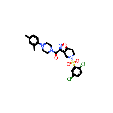 Cc1ccc(N2CCN(C(=O)c3noc4c3CN(S(=O)(=O)c3cc(Cl)ccc3Cl)CC4)CC2)c(C)c1